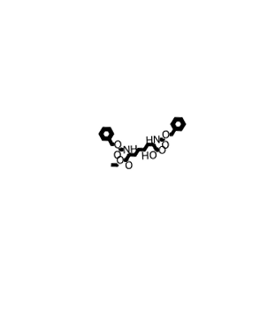 CCOC(=O)C(CCCCC(NC(=O)OCc1ccccc1)C(=O)O)NC(=O)OCc1ccccc1